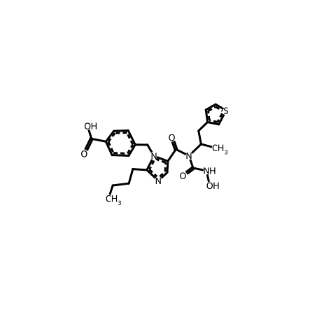 CCCCc1ncc(C(=O)N(C(=O)NO)C(C)Cc2ccsc2)n1Cc1ccc(C(=O)O)cc1